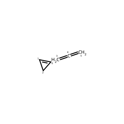 C1=CC1.C=C=C